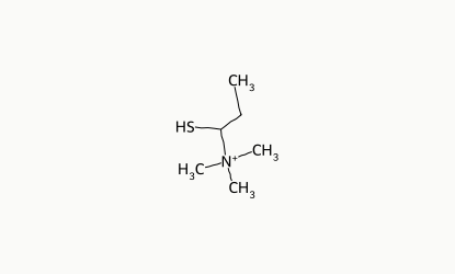 CCC(S)[N+](C)(C)C